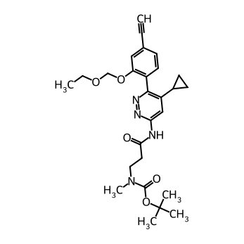 C#Cc1ccc(-c2nnc(NC(=O)CCN(C)C(=O)OC(C)(C)C)cc2C2CC2)c(OCOCC)c1